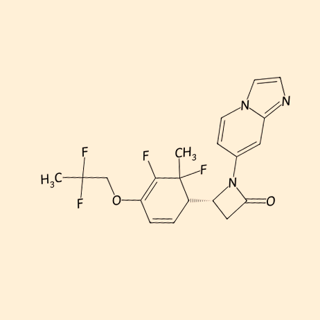 CC(F)(F)COC1=C(F)C(C)(F)C([C@H]2CC(=O)N2c2ccn3ccnc3c2)C=C1